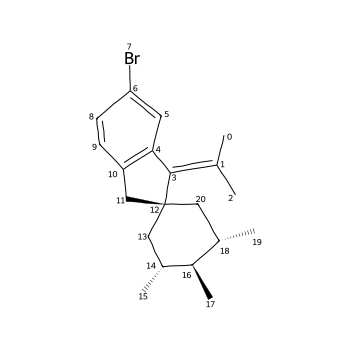 CC(C)=C1c2cc(Br)ccc2C[C@@]12C[C@@H](C)[C@H](C)[C@@H](C)C2